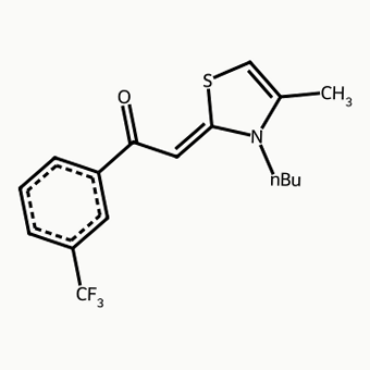 CCCCN1C(C)=CS/C1=C\C(=O)c1cccc(C(F)(F)F)c1